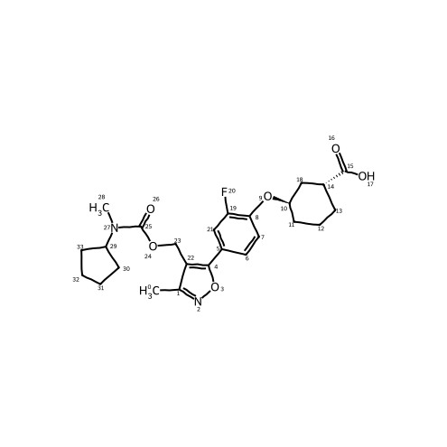 Cc1noc(-c2ccc(O[C@@H]3CCC[C@@H](C(=O)O)C3)c(F)c2)c1COC(=O)N(C)C1CCCC1